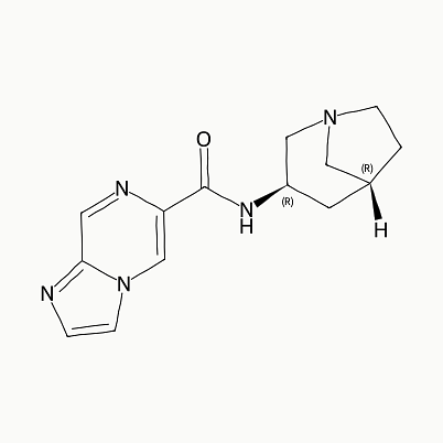 O=C(N[C@@H]1C[C@H]2CCN(C2)C1)c1cn2ccnc2cn1